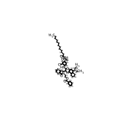 CCCCCCCCCCCCC(=O)NS(=O)(=O)c1ccc(NC(=O)/C(=N\c2ccc(N(CC)CC)c3c2CCCC3)c2nc3nccnc3c(=O)n2CCOC(=O)c2ccccc2)c(Cl)c1